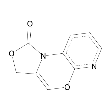 O=C1OCC2=COc3ncccc3N12